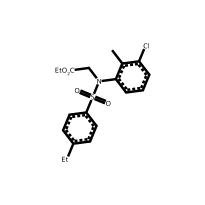 CCOC(=O)CN(c1cccc(Cl)c1C)S(=O)(=O)c1ccc(CC)cc1